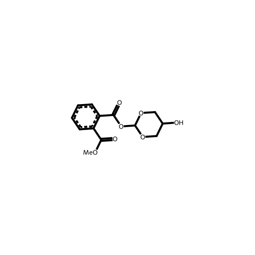 COC(=O)c1ccccc1C(=O)OC1OCC(O)CO1